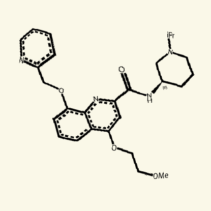 COCCOc1cc(C(=O)N[C@@H]2CCCN(C(C)C)C2)nc2c(OCc3ccccn3)cccc12